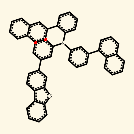 c1cc(-c2ccc3c(c2)sc2ccccc23)cc(N(c2cccc(-c3cccc4ccccc34)c2)c2ccccc2-c2ccc3ccccc3c2)c1